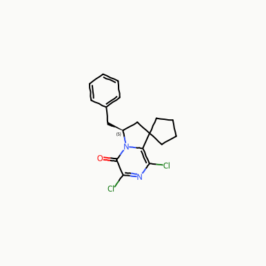 O=c1c(Cl)nc(Cl)c2n1[C@@H](Cc1ccccc1)CC21CCCC1